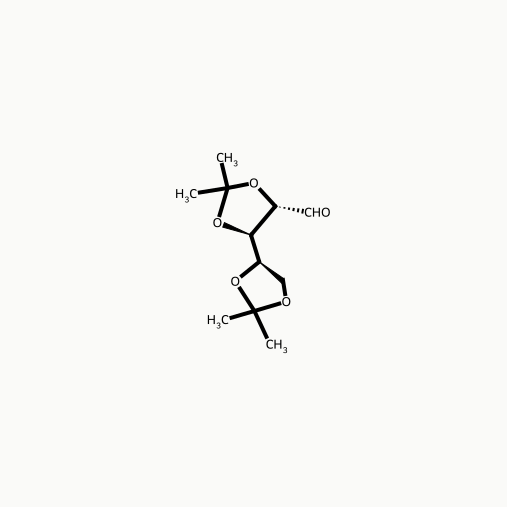 CC1(C)O[C@H]([C@H]2COC(C)(C)O2)[C@@H](C=O)O1